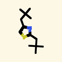 CC(C)(C)Cc1csc(CC(C)(C)C)n1